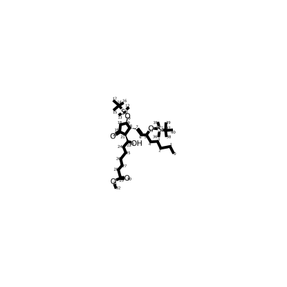 CCCCCC(C=C[C@H]1[C@@H](O[Si](C)(C)C(C)(C)C)CC(=O)[C@@H]1C(O)CCCCCC(=O)OC)O[Si](C)(C)C(C)(C)C